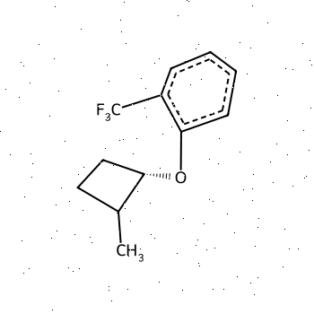 CC1CC[C@@H]1Oc1ccccc1C(F)(F)F